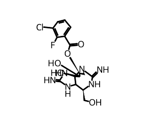 N=C1NC2[C@H](CO)NC(=N)N3C[C@H](OC(=O)c4cccc(Cl)c4F)C(O)(O)C23N1